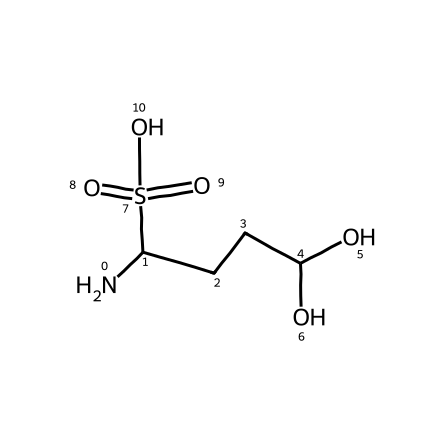 NC(CCC(O)O)S(=O)(=O)O